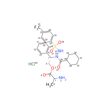 CC(N)C(=O)OC[C@H](c1ccccc1)N(NS(=O)(=O)c1ccc(C(F)(F)F)cc1)C(=O)C1CCCCC1.Cl